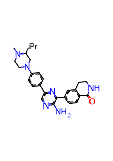 CC(C)C1CN(c2ccc(-c3cnc(N)c(-c4ccc5c(c4)CCNC5=O)n3)cc2)CCN1C